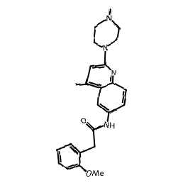 COc1ccccc1CC(=O)Nc1ccc2nc(N3CCN(C)CC3)cc(C)c2c1